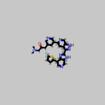 CN(C)CC(=O)Cc1cncc(-c2cc3c(-c4nc5c(-c6ccc(F)s6)cncc5[nH]4)n[nH]c3cn2)c1